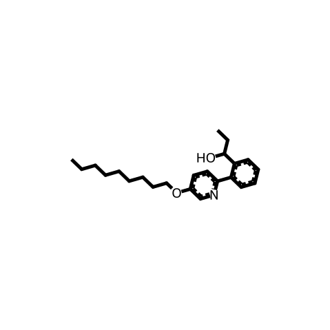 CCCCCCCCCOc1ccc(-c2ccccc2C(O)CC)nc1